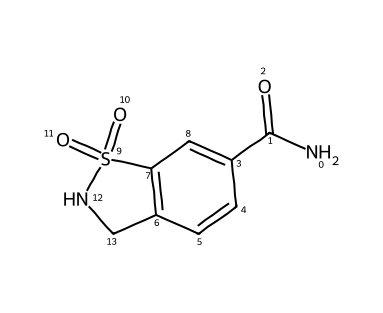 NC(=O)c1ccc2c(c1)S(=O)(=O)NC2